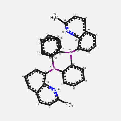 Cc1ccc2cccc(P(c3ccccc3)c3ccccc3P(c3ccccc3)c3cccc4ccc(C)nc34)c2n1